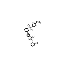 Cc1ccc(NC(=O)c2cccc(-n3cc(C(=O)NCc4ccccc4Cl)cn3)c2)cn1